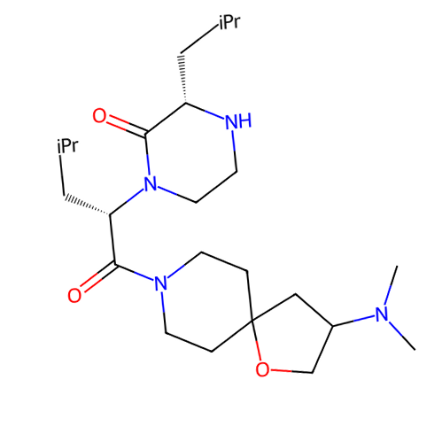 CC(C)C[C@@H]1NCCN([C@@H](CC(C)C)C(=O)N2CCC3(CC2)CC(N(C)C)CO3)C1=O